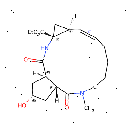 CCOC(=O)[C@@]12C[C@H]1/C=C\CCCCN(C)C(=O)[C@@H]1C[C@H](O)C[C@H]1C(=O)N2